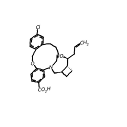 C=CC[C@H](O)[C@@H]1CC[C@H]1CN1CCCCc2cc(Cl)ccc2COc2ccc(C(=O)O)cc21